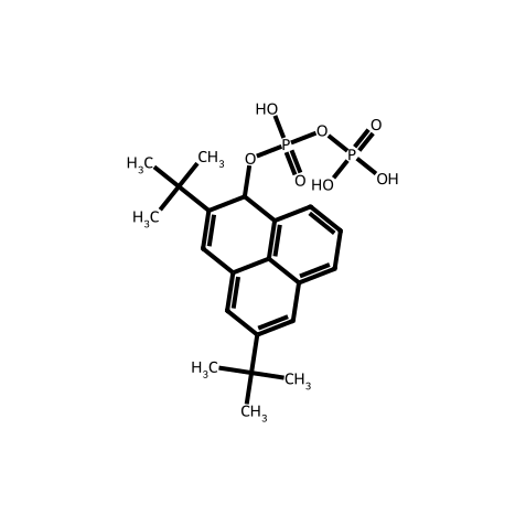 CC(C)(C)C1=Cc2cc(C(C)(C)C)cc3cccc(c23)C1OP(=O)(O)OP(=O)(O)O